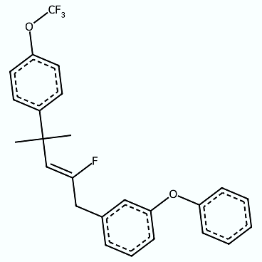 CC(C)(/C=C(\F)Cc1cccc(Oc2ccccc2)c1)c1ccc(OC(F)(F)F)cc1